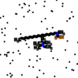 CCCCCCCCCCCCCCCCCCN(C)C(=S)S.CCN(C(C)C)C(C)C